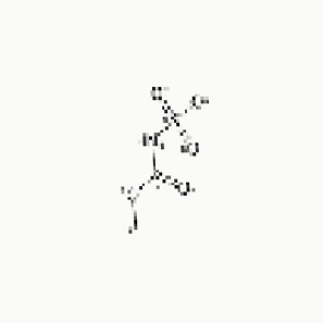 COC(=O)NS([O])(=O)=O